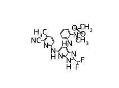 Cc1ccc(Nc2cc(Nc3ccccc3N(C)S(C)(=O)=O)c3nc(C(F)F)[nH]c3n2)nc1C#N